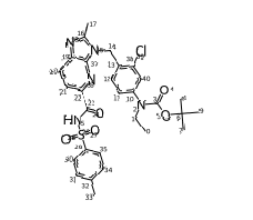 CCN(C(=O)OC(C)(C)C)c1ccc(Cn2c(C)nc3ccc(C(=O)NS(=O)(=O)c4ccc(C)cc4)nc32)c(Cl)c1